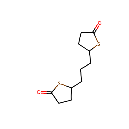 O=C1CCC(CCCC2CCC(=O)S2)S1